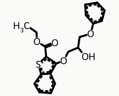 CCOC(=O)c1sc2ccccc2c1OCC(O)COc1ccccc1